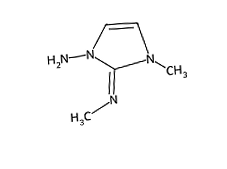 CN=c1n(C)ccn1N